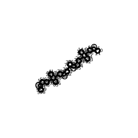 c1ccc2c(c1)oc1ccc(-c3c4ccccc4c(-c4ccc5c(ccc6oc7c(-c8ccc9oc%10cc(-c%11c%12ccccc%12c(-c%12ccc%13c(ccc%14oc%15ccccc%15c%14%13)c%12)c%12ccccc%11%12)ccc%10c9c8)cccc7c65)c4)c4ccccc34)cc12